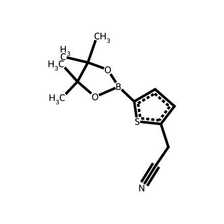 CC1(C)OB(c2ccc(CC#N)s2)OC1(C)C